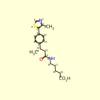 Cc1ncsc1-c1ccc([C@@H](C)CC(=O)NCCCCC(=O)O)cc1